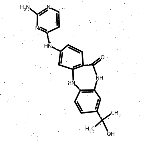 CC(C)(O)c1ccc2c(c1)NC(=O)c1ccc(Nc3ccnc(N)n3)cc1N2